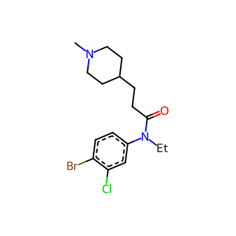 CCN(C(=O)CCC1CCN(C)CC1)c1ccc(Br)c(Cl)c1